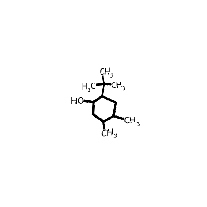 CC1CC(O)C(C(C)(C)C)CC1C